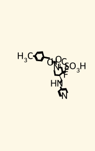 CS(=O)(=O)O.Cc1ccc(COC(=O)N2CC[C@H](CNc3ccncc3)C(F)(F)C2)cc1